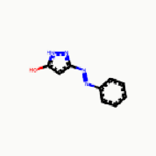 Oc1cc(N=Nc2ccccc2)n[nH]1